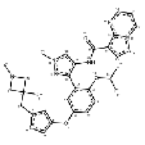 CN1CC(O)(Cn2cc(Oc3ccc(OC(F)F)c(-c4nn(C)cc4NC(=O)c4cnn5cccnc45)c3)cn2)C1